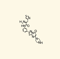 N[C@@H](Cc1cscn1)C(=O)Nc1cccc(-c2nn3c(=O)cc(N4CCNCC4)nc3s2)c1